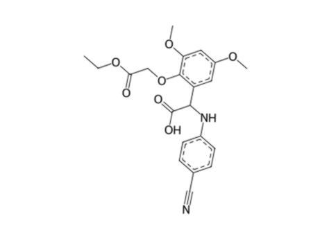 CCOC(=O)COc1c(OC)cc(OC)cc1C(Nc1ccc(C#N)cc1)C(=O)O